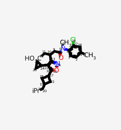 Cc1ccc(N(C)C(=O)CC(CC(=O)O)c2noc(C3CC(CC(C)C)C3)c2C2CC2)c(Cl)c1